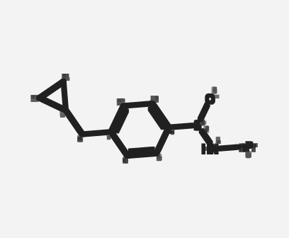 CCCN[S+]([O-])c1ccc(CC2CC2)cc1